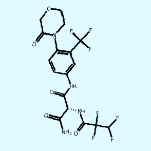 NC(=O)[C@@H](NC(=O)C(F)(F)C(F)F)C(=O)Nc1ccc(N2CCOCC2=O)c(C(F)(F)F)c1